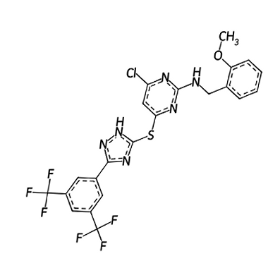 COc1ccccc1CNc1nc(Cl)cc(Sc2nc(-c3cc(C(F)(F)F)cc(C(F)(F)F)c3)n[nH]2)n1